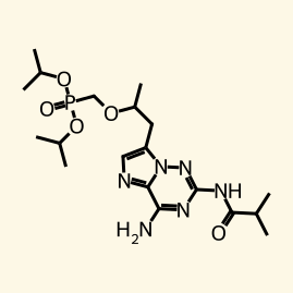 CC(C)OP(=O)(COC(C)Cc1cnc2c(N)nc(NC(=O)C(C)C)nn12)OC(C)C